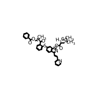 CN(COC(=O)c1ccccc1)C(=O)c1ccccc1Sc1ccc2c(/C=C/c3ccccn3)nn(OC(=O)CC[Si](C)(C)C)c2c1